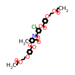 C=CC(=O)OCCCOc1ccc(C(=O)Oc2cc3c(=O)oc(-c4ccc(OC(=O)c5ccc(OCCCOC(=O)C=C)cc5)c(Cl)c4)nc3cc2C)cc1